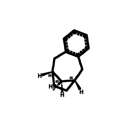 N[C@H]1[C@@H]2CC[C@H]1Cc1ccccc1C2